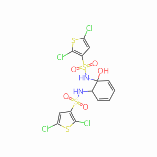 O=S(=O)(NC1C=CC=CC1(O)NS(=O)(=O)c1cc(Cl)sc1Cl)c1cc(Cl)sc1Cl